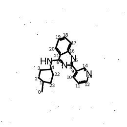 CC1CCC(Nc2nc(-c3cccnc3)nc3ccccc23)CC1